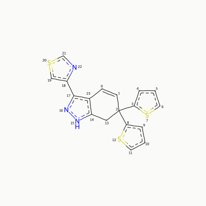 C1=CC(c2cccs2)(c2cccs2)Cc2[nH]nc(-c3cscn3)c21